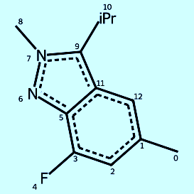 Cc1cc(F)c2nn(C)c(C(C)C)c2c1